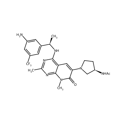 CC(=O)N[C@@H]1CCN(c2cc3c(N[C@H](C)c4cc(N)cc(C(F)(F)F)c4)nc(C)nc3n(C)c2=O)C1